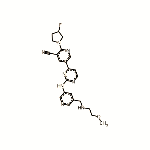 COCCNCc1cncc(Nc2nccc(-c3cnc(N4CCC(F)C4)c(C#N)c3)n2)c1